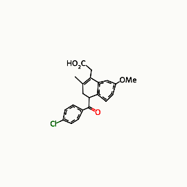 COc1ccc2c(c1)C(CC(=O)O)=C(C)CC2C(=O)c1ccc(Cl)cc1